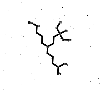 CCCN(C)CCCN(CCCNC(C)CC)CC[Si](CC)(OCC)OCC